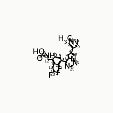 Cn1cc(-c2cc3c(-c4ccc(CNC(=O)O)c(CC(F)F)c4F)ncnn3c2)cn1